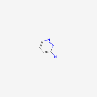 [N]c1cccnn1